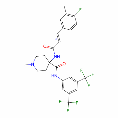 Cc1cc(/C=C/C(=O)NC2(C(=O)Nc3cc(C(F)(F)F)cc(C(F)(F)F)c3)CCN(C)CC2)ccc1F